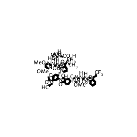 C#CCN1C(=O)COc2cc(F)c(N3C(=O)C4=C(CCCC4)C3=O)cc21.COc1cc(OC)nc(NC(=O)NS(=O)(=O)c2ncccc2C(=O)N(C)C)n1.COc1nc(C)nc(NC(=O)NS(=O)(=O)c2ccccc2CCC(F)(F)F)n1.O=C(O)CNCP(=O)(O)O